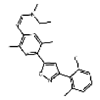 CCN(C)/C=N\c1cc(C)c(-c2cc(-c3c(C)cccc3Cl)no2)cc1C